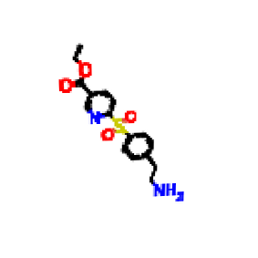 CCOC(=O)c1ccc(S(=O)(=O)c2ccc(CCN)cc2)nc1